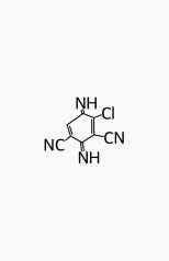 N#CC1=CC(=N)C(Cl)=C(C#N)C1=N